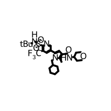 Cc1c(C(=O)NC2CCOCC2)cc(-c2cnc(S(=O)(=O)NC(C)(C)C)c(C(F)(F)F)c2)n1CC1CCCCC1